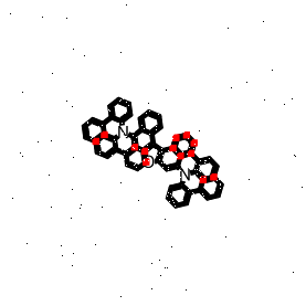 c1ccc(-c2ccccc2N(c2ccccc2-c2ccccc2)c2cc3oc4cc(N(c5ccccc5-c5ccccc5)c5ccccc5-c5ccccc5)c5ccccc5c4c3c3ccccc23)cc1